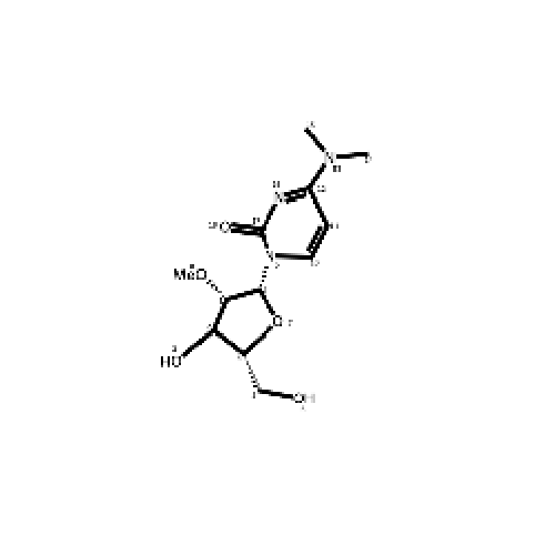 CO[C@H]1C(O)[C@@H](CO)O[C@H]1n1ccc(N(C)C)nc1=O